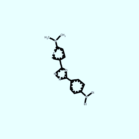 CCN(CC)c1ccc(-c2nnc(-c3ccc(N(C)C)cc3)o2)cc1